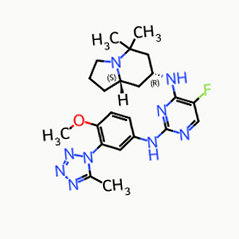 COc1ccc(Nc2ncc(F)c(N[C@@H]3C[C@@H]4CCCN4C(C)(C)C3)n2)cc1-n1nnnc1C